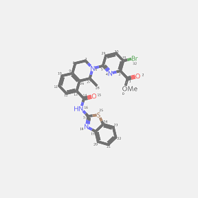 COC(=O)c1nc(N2CCc3cccc(C(=O)Nc4nc5ccccc5s4)c3C2C)ccc1Br